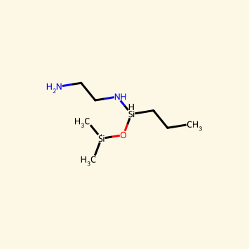 CCC[SiH](NCCN)O[Si](C)C